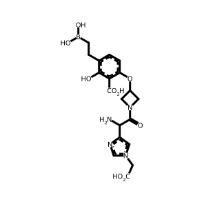 NC(C(=O)N1CC(Oc2ccc(CCB(O)O)c(O)c2C(=O)O)C1)c1cn(CC(=O)O)cn1